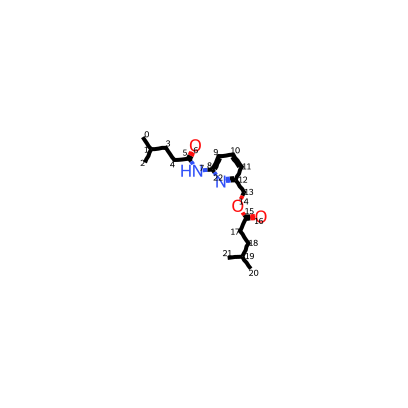 CC(C)CCC(=O)Nc1cccc(COC(=O)CCC(C)C)n1